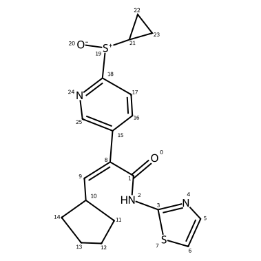 O=C(Nc1nccs1)C(=CC1CCCC1)c1ccc([S+]([O-])C2CC2)nc1